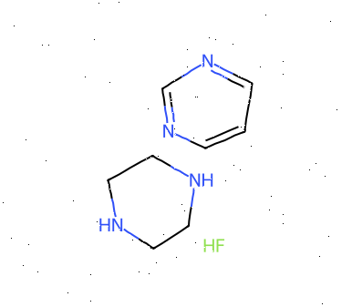 C1CNCCN1.F.c1cncnc1